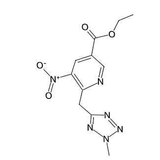 CCOC(=O)c1cnc(Cc2nnn(C)n2)c([N+](=O)[O-])c1